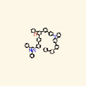 c1ccc(-c2cccc(-c3cccc(-c4ccc5c(c4)c4ccccc4n5-c4ccc(-c5cccc(-c6cc(-c7ccc(-c8cccc(-c9cc(-c%10ccccc%10)nc(-c%10ccccc%10)n9)c8)cc7)c7oc8ccccc8c7c6)c5)cc4)c3)c2)cc1